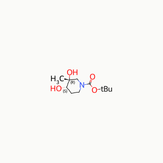 CC(C)(C)OC(=O)N1CC[C@H](O)[C@](C)(O)C1